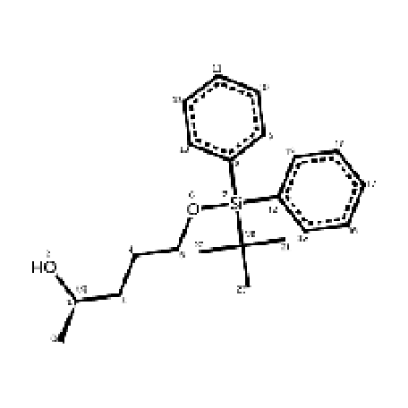 C[C@@H](O)CCCO[Si](c1ccccc1)(c1ccccc1)C(C)(C)C